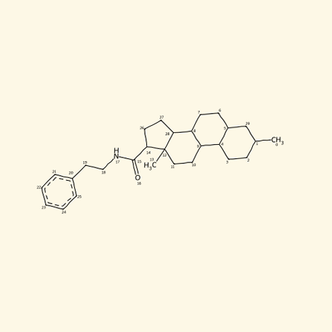 CC1CCC2C(CCC3C2CCC2(C)C(C(=O)NCCc4ccccc4)CCC32)C1